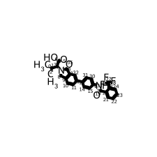 CC(C)C(C(=O)O)N1Cc2ccc(-c3ccc(NC(=O)c4ccccc4C(F)(F)F)cc3)cc2C1=O